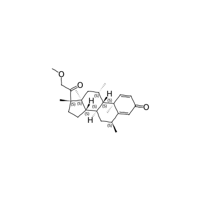 COCC(=O)[C@@]1(C)CC[C@H]2[C@@H]3C[C@H](C)C4=CC(=O)C=C[C@]4(C)[C@H]3[C@@H](C)C[C@@]21C